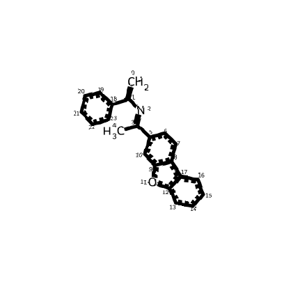 C=C(/N=C(\C)c1ccc2c(c1)oc1ccccc12)c1ccccc1